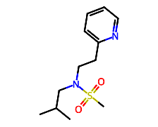 CC(C)CN(CCc1ccccn1)S(C)(=O)=O